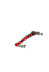 CCCCCCCCCc1ccccc1OCCOCCOCCOCCOCCOCCOCCOCCOP(=O)(O)OC